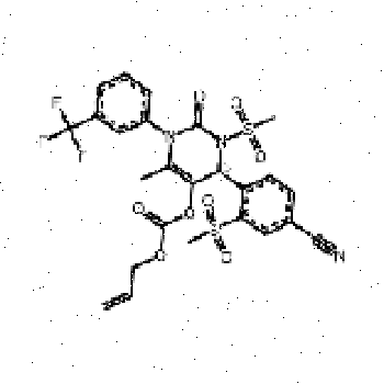 C=CCOC(=O)OC1=C(C)N(c2cccc(C(F)(F)F)c2)C(=O)N(S(C)(=O)=O)[C@H]1c1ccc(C#N)cc1S(C)(=O)=O